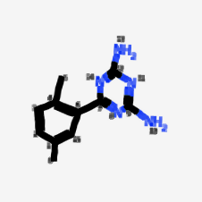 Cc1ccc(C)c(-c2nc(N)nc(N)n2)c1